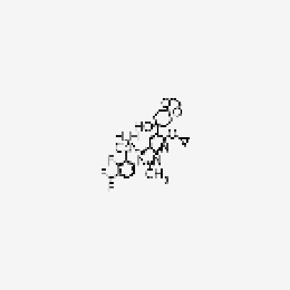 Cc1nc(N[C@H](C)c2cccc(C(F)F)c2F)c2cc(C3(O)CCC4(CC3)OCCO4)c(OC3CC3)nc2n1